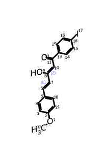 COc1ccc(/C=C/C(O)=C/C(=O)c2ccc(I)cc2)cc1